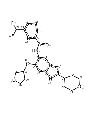 O=C(Nc1cn2cc(C3CCOCC3)nc2cc1OC1CCOC1)c1cccc(C(F)F)n1